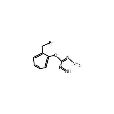 N=NC(=NN)Oc1ccccc1CBr